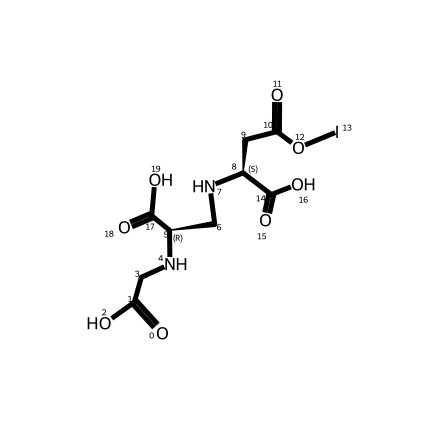 O=C(O)CN[C@H](CN[C@@H](CC(=O)OI)C(=O)O)C(=O)O